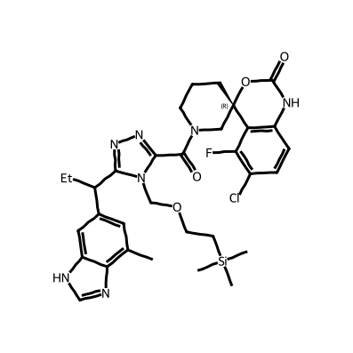 CCC(c1cc(C)c2nc[nH]c2c1)c1nnc(C(=O)N2CCC[C@@]3(C2)OC(=O)Nc2ccc(Cl)c(F)c23)n1COCC[Si](C)(C)C